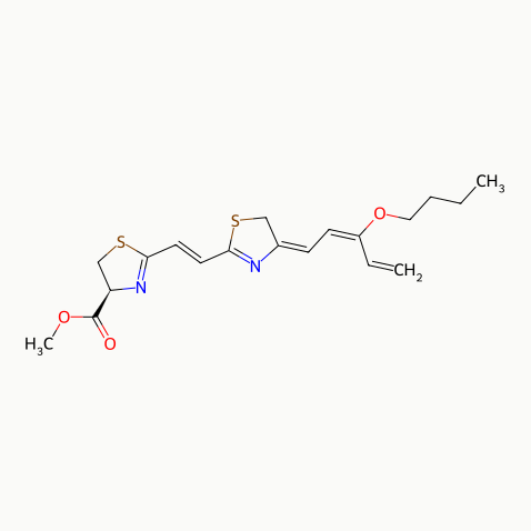 C=C/C(=C\C=C1/CSC(/C=C/C2=N[C@@H](C(=O)OC)CS2)=N1)OCCCC